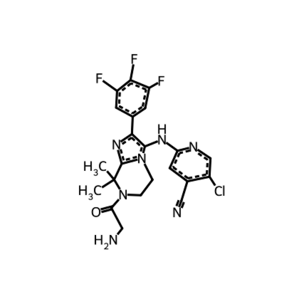 CC1(C)c2nc(-c3cc(F)c(F)c(F)c3)c(Nc3cc(C#N)c(Cl)cn3)n2CCN1C(=O)CN